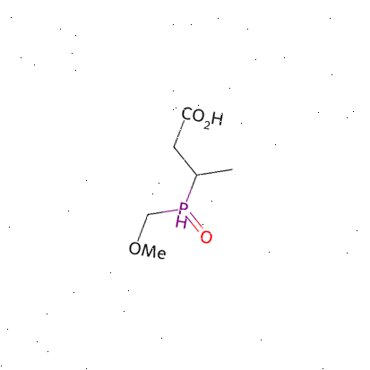 COC[PH](=O)C(C)CC(=O)O